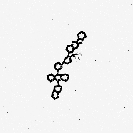 CC1(C)C2=CCC(c3cccc(-c4c5ccccc5c(-c5ccc6ccccc6c5)c5ccccc45)c3)C=C2c2ccc3cc4c(cc3c21)sc1ccccc14